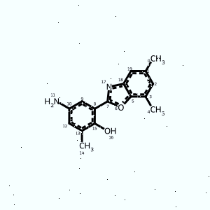 Cc1cc(C)c2oc(-c3cc(N)cc(C)c3O)nc2c1